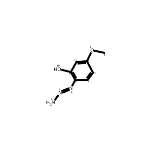 COc1ccc(N=NN)c(O)c1